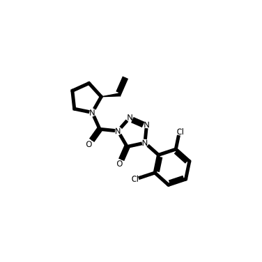 C=C[C@@H]1CCCN1C(=O)n1nnn(-c2c(Cl)cccc2Cl)c1=O